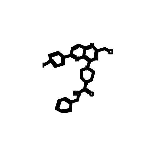 O=C(NCc1ccccc1)N1CCN(c2nc(CCl)nc3ccc(-c4ccc(F)cc4)nc23)CC1